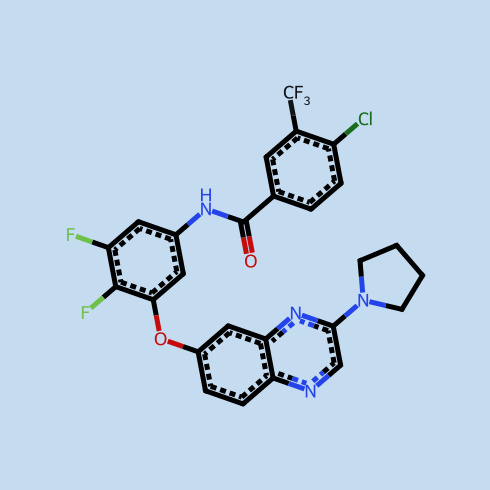 O=C(Nc1cc(F)c(F)c(Oc2ccc3ncc(N4CCCC4)nc3c2)c1)c1ccc(Cl)c(C(F)(F)F)c1